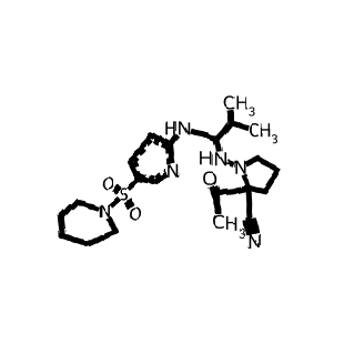 CC(=O)C1(C#N)CCCN1NC(Nc1ccc(S(=O)(=O)N2CCCCC2)cn1)C(C)C